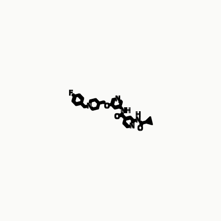 O=C(Nc1cncc(OCC2CCN(Cc3ccc(F)cc3)CC2)c1)c1ccnc(NC(=O)C2CC2)c1